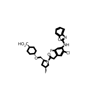 O=C(Cc1cc(Cl)c(Nc2nc3ccccc3o2)cc1F)N1C[C@@H](F)C[C@H]1CO[C@H]1CC[C@H](C(=O)O)CC1